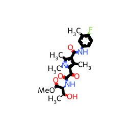 COC(=O)[C@@H](NC(=O)C(=O)c1c(C)c(C(=O)Nc2ccc(F)c(C)c2)c(C)n1C)[C@@H](C)O